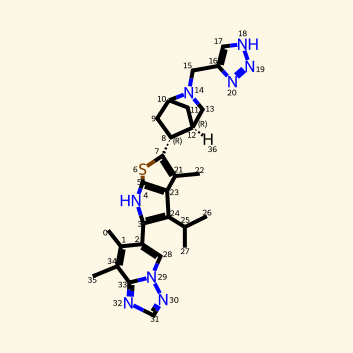 Cc1c(-c2[nH]c3sc([C@@H]4CC5C[C@H]4CN5Cc4c[nH]nn4)c(C)c3c2C(C)C)cn2ncnc2c1C